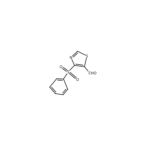 O=Cc1scnc1S(=O)(=O)c1ccccc1